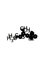 CCC(C)c1ccc2sc3c(-c4ccc(-c5nnc6c7ccccc7c7ccccc7n56)cc4)cc(C(C)CC)cc3c2c1